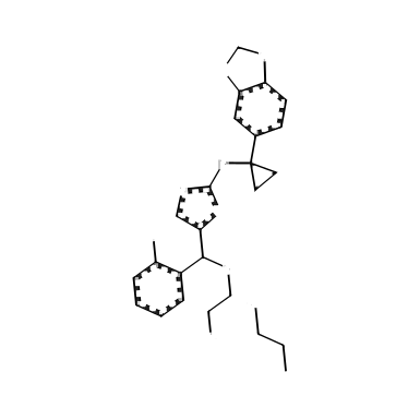 CCCC[C@H](CO)NC(c1cnc(NC2(c3ccc4c(c3)OCO4)CC2)s1)c1ccccc1Cl